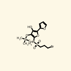 C[Si](C)(C)Oc1c(NS(=O)(=O)CCCBr)oc(-c2ccco2)c1O